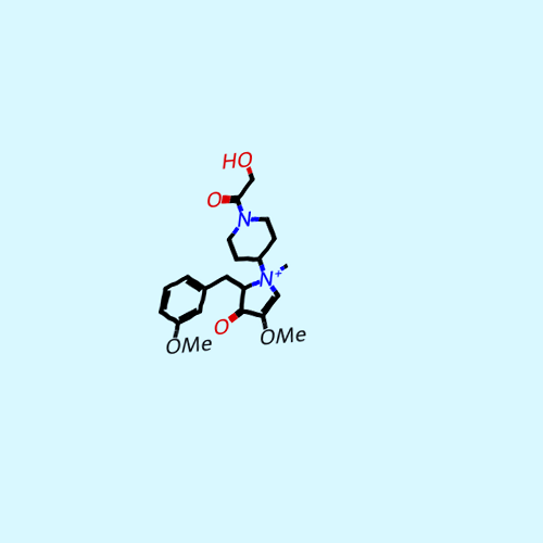 COC1=C[N+](C)(C2CCN(C(=O)CO)CC2)C(Cc2cccc(OC)c2)C1=O